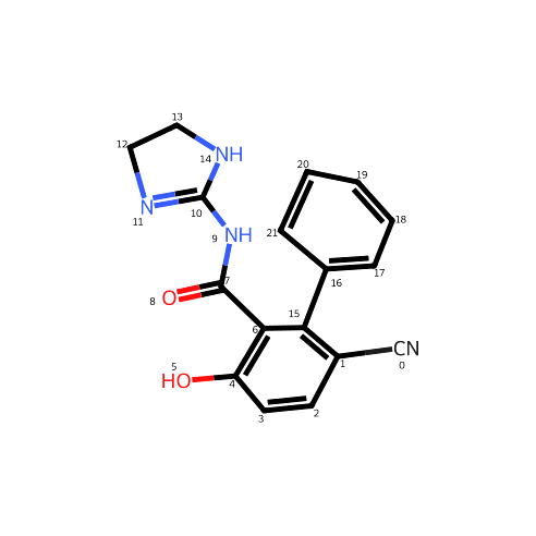 N#Cc1ccc(O)c(C(=O)NC2=NCCN2)c1-c1ccccc1